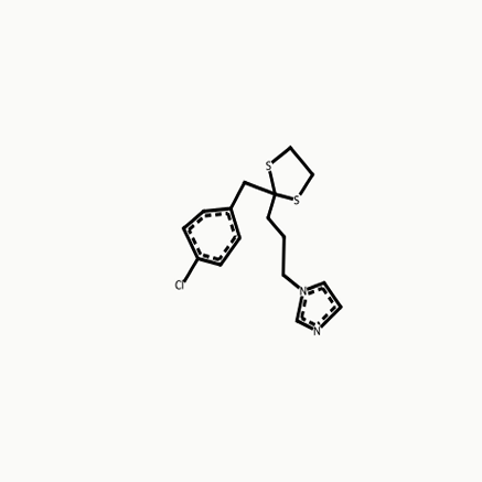 Clc1ccc(CC2(CCCn3ccnc3)SCCS2)cc1